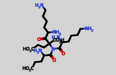 NCCCCC(N)C(=O)N(C(=O)C(N)CCC(=O)O)C(CCC(=O)O)(C(=O)O)C(=O)C(N)CCCCN